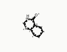 O=c1[nH]cnc2ccc[c]c12